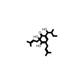 CCC(C)C(O)C1=CC(CC=C(C)C)=C(O)C(O)(CC=C(C)C)C1=O